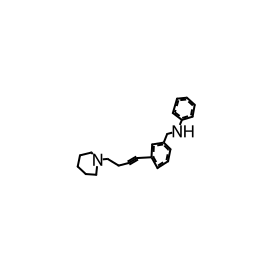 C(#Cc1cccc(CNc2ccccc2)c1)CCN1CCCCC1